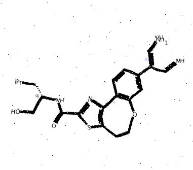 CC(C)C[C@@H](CO)NC(=O)c1nc2c(s1)CCOc1cc(/C(C=N)=C/N)ccc1-2